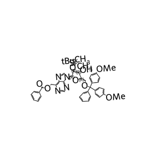 COc1ccc(C(OC[C@H]2O[C@@H](n3cnc4c(COC(=O)c5ccccc5)ncnc43)[C@H](O[Si](C)(C)C(C)(C)C)[C@@H]2O)(c2ccccc2)c2ccc(OC)cc2)cc1